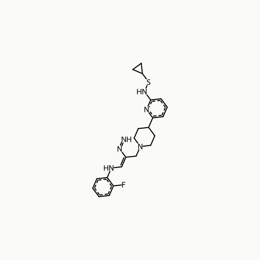 N=N/C(=C\Nc1ccccc1F)CN1CCC(c2cccc(NSC3CC3)n2)CC1